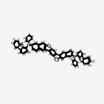 c1ccc(N(c2ccc3cc4c(cc3c2)oc2cc3c(cc24)oc2cc4cc(N(c5ccccc5)c5cccc6c5sc5ccccc56)ccc4cc23)c2cccc3c2sc2ccccc23)cc1